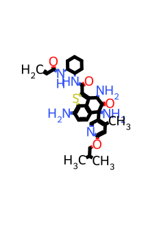 C=CC(=O)N[C@H]1CCCC[C@H]1NC(=O)c1sc2c(N)ccc3c2c1C(N)C(=O)C3(N)c1cnc(OCC(C)C)cc1C